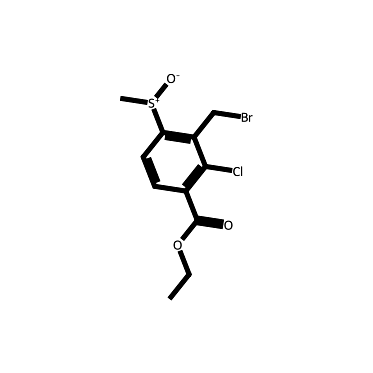 CCOC(=O)c1ccc([S+](C)[O-])c(CBr)c1Cl